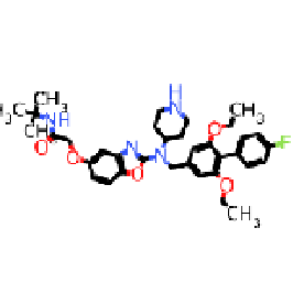 CCOc1cc(CN(c2nc3cc(OCC(=O)NC(C)(C)C)ccc3o2)C2CCNCC2)cc(OCC)c1-c1ccc(F)cc1